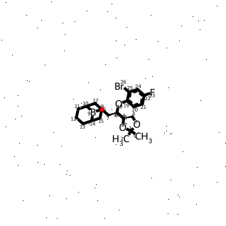 CC1(C)OC[C@H]([C@@H](CCB2C3CCCC2CCC3)Oc2ccc(F)cc2Br)O1